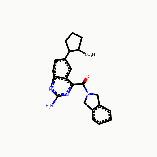 Nc1nc(C(=O)N2Cc3ccccc3C2)c2cc(C3CCCC3C(=O)O)ccc2n1